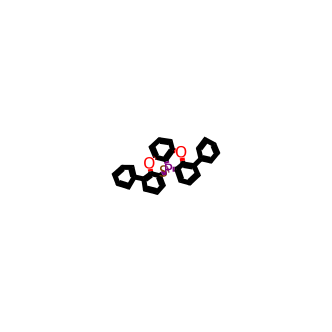 S=P12c3cccc(-c4ccccc4)c3Oc3cccc(c31)Oc1c(-c3ccccc3)cccc12